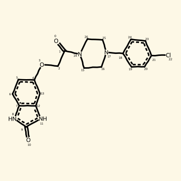 O=C(COc1ccc2[nH]c(=O)[nH]c2c1)N1CCN(c2ccc(Cl)cc2)CC1